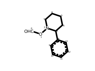 O=CON1CCCCC1c1ccccc1